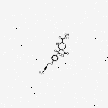 CC#CCOc1ccc(S(=O)(=O)C2CNC(C(=O)NO)CCN2C(=O)O)cc1